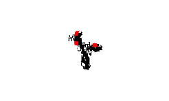 Cc1[nH]c2ccc(NC(=O)c3cc(N4CCC5(CC4)OCCO5)nc(N4CCOCC4)n3)cc2c1C